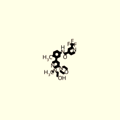 Cc1ccc(NC(=O)c2ccnc(C(F)(F)F)c2)cc1-c1cnc(N(C)CCO)c(N2CCOCC2)c1